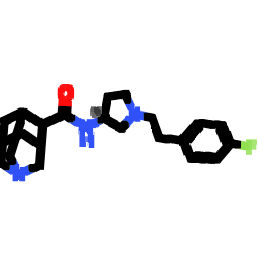 O=C(N[C@H]1CCN(CCc2ccc(F)cc2)C1)C1C2CC3CC1CN(C3)C2